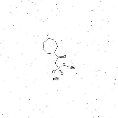 CCCCOP(=O)(CC(=O)C1CCCCCC1)OCCCC